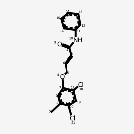 Cc1cc(OCC=CC(=O)Nc2ccccc2)c(Cl)cc1Cl